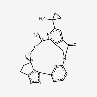 CC1(c2cc3c4c(n2)[C@H](N)CO[C@H]2CCc5nnc(n52)-c2cccc(n2)N(C4)C3=O)CC1